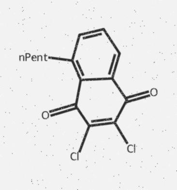 CCCCCc1cccc2c1C(=O)C(Cl)=C(Cl)C2=O